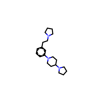 c1cc(CCN2CCCC2)cc(N2CCC(N3CCCC3)CC2)c1